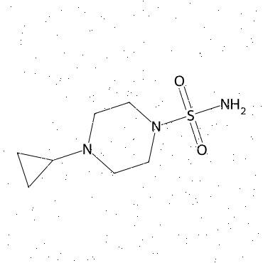 NS(=O)(=O)N1CCN(C2CC2)CC1